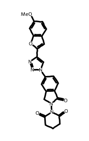 COc1ccc2cc(-c3cn(-c4ccc5c(c4)CN(N4C(=O)CCCC4=O)C5=O)nn3)oc2c1